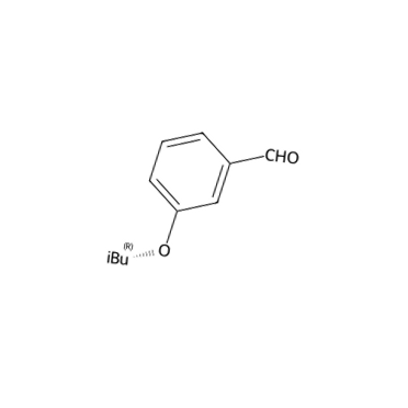 CC[C@@H](C)Oc1cccc(C=O)c1